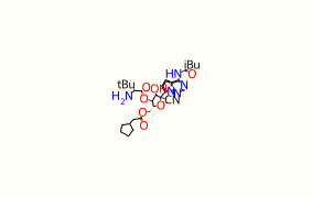 CC[C@@H](C)C(=O)Nc1ncnn2c([C@]3(C#N)O[C@H](COC(=O)CC4CCCC4)[C@@H](OC(=O)[C@H](N)C(C)(C)C)[C@H]3O)ccc12